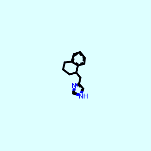 c1ccc2c(c1)CCCC2Cc1c[nH]cn1